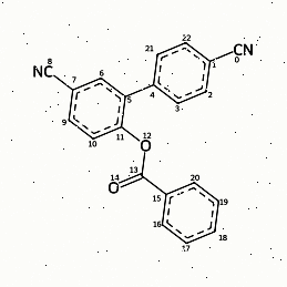 N#Cc1ccc(-c2cc(C#N)ccc2OC(=O)c2ccccc2)cc1